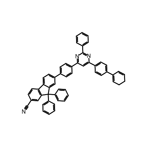 N#Cc1ccc2c(c1)C(c1ccccc1)(c1ccccc1)c1cc(-c3ccc(-c4cc(-c5ccc(C6=CCCC=C6)cc5)nc(-c5ccccc5)n4)cc3)ccc1-2